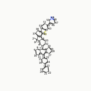 CC1(C)c2cc(-c3c4ccccc4c(-c4ccc(-c5ccccc5)cc4)c4ccccc34)ccc2-c2c1ccc1c2sc2cc(-c3cccnc3)ccc21